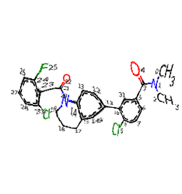 CN(C)C(=O)c1ccc(Cl)c(-c2ccc3c(c2)CCCN3C(=O)c2c(F)cccc2Cl)c1